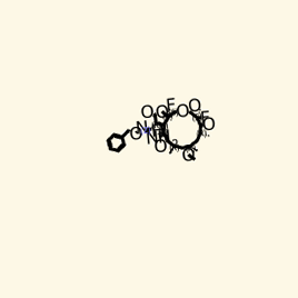 CO[C@]1(C)C[C@@H](C)C(=O)[C@H](C)[C@H]2[C@H](/C(N)=N/OCc3ccccc3)C(=O)O[C@@]2(C)[C@H](F)OC(=O)[C@@](C)(F)C(=O)[C@H](C)C1